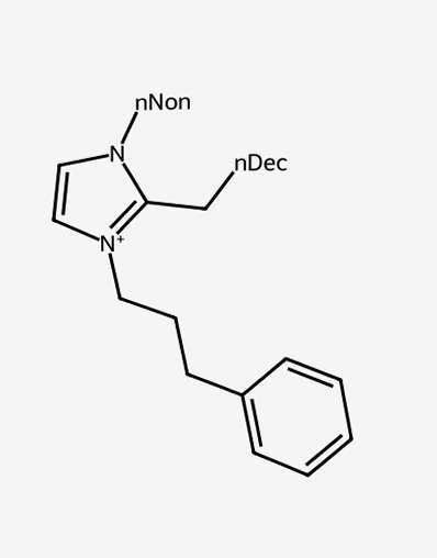 CCCCCCCCCCCc1n(CCCCCCCCC)cc[n+]1CCCc1ccccc1